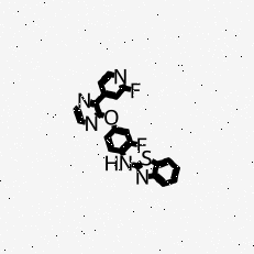 Fc1cc(-c2nccnc2Oc2ccc(Nc3nc4ccccc4s3)c(F)c2)ccn1